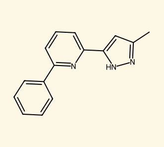 Cc1cc(-c2cccc(-c3ccccc3)n2)[nH]n1